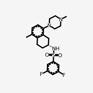 Cc1ccc(N2CCN(C)CC2)c2c1CC[C@@H](NS(=O)(=O)c1cc(F)cc(F)c1)C2